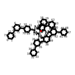 c1ccc(-c2cccc(-c3ccc(-c4nc(-c5ccccc5)nc(-n5c6ccc(-c7ccccc7)cc6c6ccc7c8cc(-c9ccccc9)ccc8n(-c8ccccc8-c8ccccc8)c7c65)n4)cc3)c2)cc1